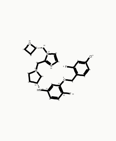 Fc1cc(Cl)ccc1COc1cc(N[C@@H]2CCN(Cc3nccn3C[C@@H]3CCO3)C2)ccc1F